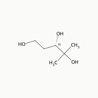 CC(C)(O)[C@@H](O)CCO